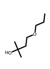 CCCOCCC(C)(C)O